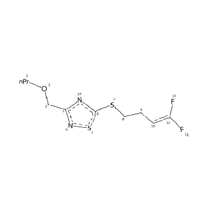 CCCOCc1nsc(SCCC=C(F)F)n1